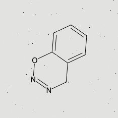 [CH]1N=NOc2ccccc21